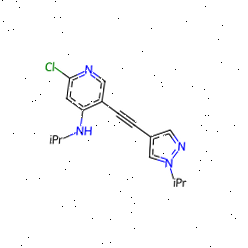 CC(C)Nc1cc(Cl)ncc1C#Cc1cnn(C(C)C)c1